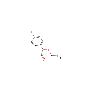 C=CCOC(C=O)c1ccc(F)cc1